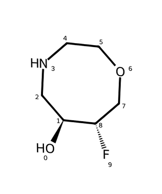 O[C@H]1CNCCOC[C@@H]1F